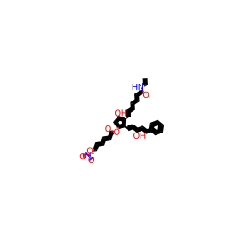 CCNC(=O)CCCC=CC[C@H]1[C@@H](O)CC(OC(=O)CCCCCO[N+](=O)[O-])[C@@H]1C=C[C@@H](O)CCc1ccccc1